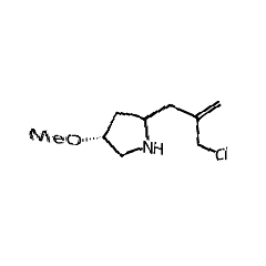 C=C(CCl)CC1C[C@@H](OC)CN1